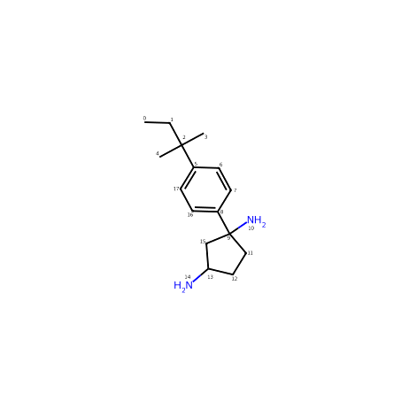 CCC(C)(C)c1ccc(C2(N)CCC(N)C2)cc1